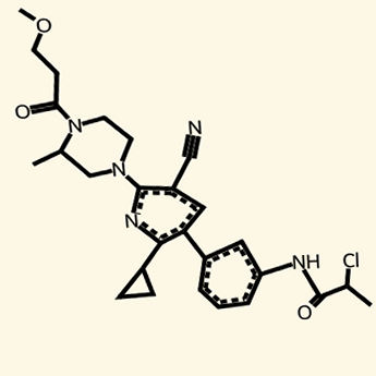 COCCC(=O)N1CCN(c2nc(C3CC3)c(-c3cccc(NC(=O)C(C)Cl)c3)cc2C#N)CC1C